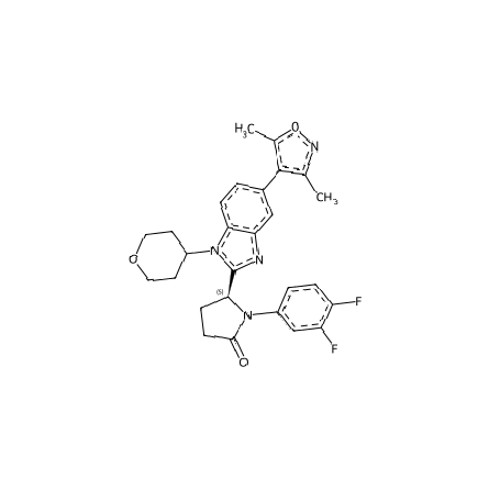 Cc1noc(C)c1-c1ccc2c(c1)nc([C@@H]1CCC(=O)N1c1ccc(F)c(F)c1)n2C1CCOCC1